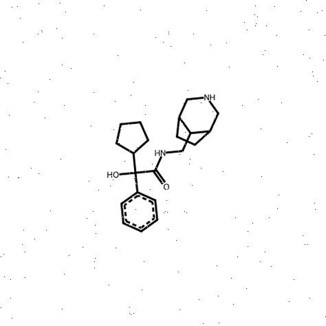 O=C(NCC1C2CCC1CNC2)C(O)(c1ccccc1)C1CCCC1